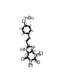 CCCCOc1ccc(C=Cc2nc3c([nH]2)c(=O)n(CC)c(=O)n3CC)cc1